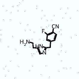 N#Cc1ccc(Cc2ncc(CCN)[nH]2)cc1F